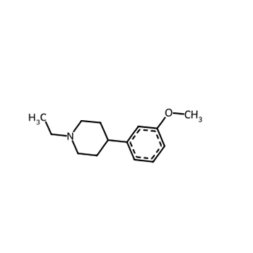 CCN1CCC(c2cccc(OC)c2)CC1